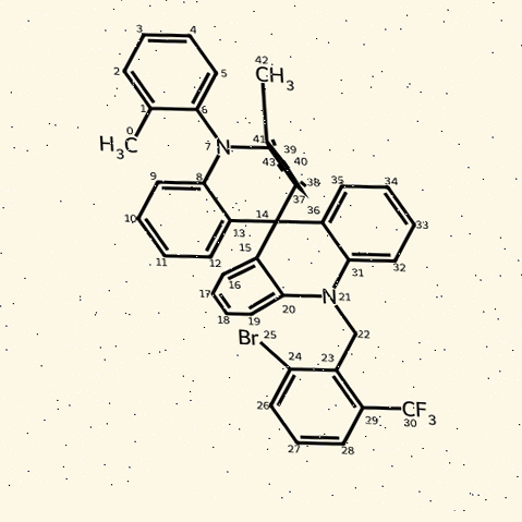 Cc1ccccc1N1c2ccccc2C2(c3ccccc3N(Cc3c(Br)cccc3C(F)(F)F)c3ccccc32)c2cccc(C)c21